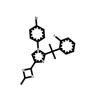 CC1OC(c2cn(-c3ccc(Br)cc3)c(C(C)(C)c3ccccc3F)n2)O1